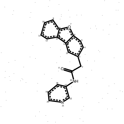 O=C(Cc1ccc2oc3ccccc3c2c1)Nc1cccnc1